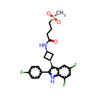 CS(=O)(=O)CCCC(=O)N[C@H]1C[C@@H](c2c(-c3ccc(F)cc3)[nH]c3c(F)cc(F)cc32)C1